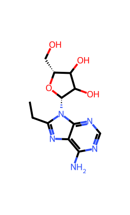 CCc1nc2c(N)ncnc2n1[C@@H]1O[C@H](CO)C(O)C1O